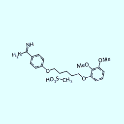 COc1cccc(OCCCCCOc2ccc(C(=N)N)cc2)c1OC.CS(=O)(=O)O